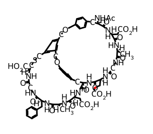 CC(=O)N[C@H]1Cc2ccc(cc2)OCc2cc3cc(c2)CSC[C@@H](C(=O)O)NC(=O)CNC(=O)[C@H](Cc2ccccc2)NC(=O)[C@H](C)NC(=O)[C@H](CC(=O)O)NC(=O)[C@H](Cc2ccc(cc2)OC3)NC(=O)[C@H](CCC(=O)O)NC(=O)CNC(=O)[C@H](C)NC(=O)[C@H](CC(=O)O)NC1=O